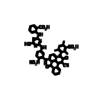 Cc1cc(C)c(S(=O)(=O)O)c(C)c1-n1c(=O)c(C#N)c2c3c(c(Nc4cc(Nc5nc(O)nc(Nc6ccccc6C(=O)O)n5)ccc4S(=O)(=O)O)ccc31)C(=O)c1ccccc1-2